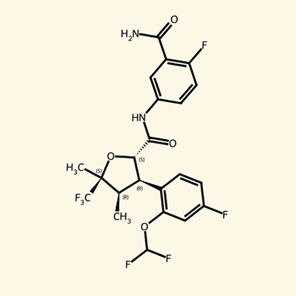 C[C@@H]1[C@H](c2ccc(F)cc2OC(F)F)[C@@H](C(=O)Nc2ccc(F)c(C(N)=O)c2)O[C@]1(C)C(F)(F)F